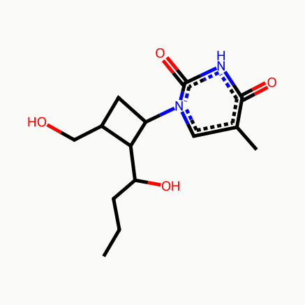 CCCC(O)C1C(CO)CC1n1cc(C)c(=O)[nH]c1=O